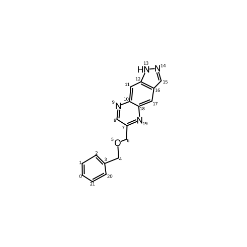 c1ccc(COCc2cnc3cc4[nH]ncc4cc3n2)cc1